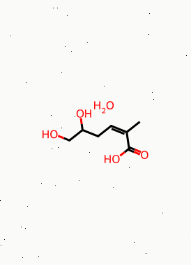 CC(=CCC(O)CO)C(=O)O.O